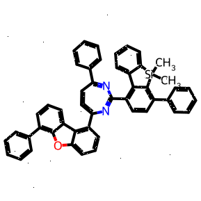 C[Si]1(C)c2ccccc2-c2c(C3=NC(c4cccc5oc6c(-c7ccccc7)cccc6c45)=C=CC(c4ccccc4)=N3)ccc(-c3ccccc3)c21